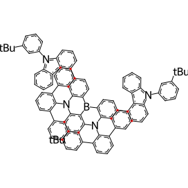 CC(C)(C)c1cccc(-n2c3ccccc3c3c(-c4ccc5c(c4)N(c4c(-c6ccccc6)cccc4-c4ccccc4)c4cc(C(C)(C)C)cc6c4B5c4ccc(-c5cccc7c5c5ccccc5n7-c5cccc(C(C)(C)C)c5)cc4N6c4c(-c5ccccc5)cccc4-c4ccccc4)cccc32)c1